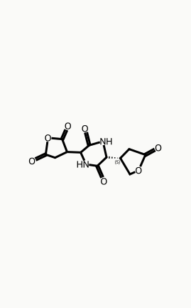 O=C1C[C@@H](C2NC(=O)C(C3CC(=O)OC3=O)NC2=O)CO1